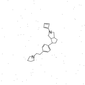 C1=CC(N2CC3CCC(c4ccc(CCN5CCCC5)cc4)C3C2)=C1